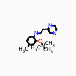 Cc1ccc(N=CCc2cnccn2)c(O[Si](C)(C)C)c1